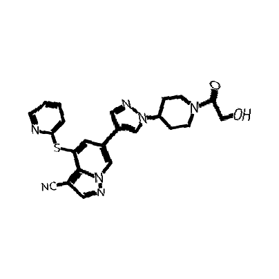 N#Cc1cnn2cc(-c3cnn(C4CCN(C(=O)CO)CC4)c3)cc(Sc3ccccn3)c12